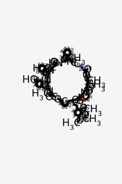 COc1ccc(CC[C@H]2OC(=O)[C@@H]3CCCCN3C(=O)C(=O)C(C)(C)COC(=O)/C=C/CCN(C)C(=O)[C@@H](Cc3ccccc3)NC(=O)CN(C)C(=O)[C@@H](Cc3ccccc3)NC(=O)[C@H](Cc3ccc(O)cc3)N(C)C(=O)COc3cccc2c3)c(OC)c1OC